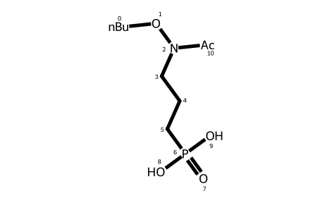 CCCCON(CCCP(=O)(O)O)C(C)=O